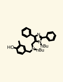 CCCCN(Cc1ccc(O)c(C)c1)Cc1c(-c2ccccc2)nc(-c2ccccc2)n1CCCC